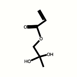 C=CC(=O)OCC(C)(O)O